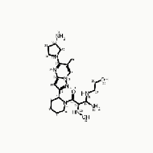 Cc1cn2nc([C@@H]3CCCCN3C(=O)C(NO)C(N)NCCO)cc2nc1N1CC[C@H](N)C1